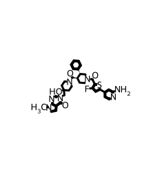 Cn1ccc2c(=O)n(CC3(O)CCN(C(=O)[C@@H]4CCN(C(=O)c5sc(-c6ccnc(N)c6)cc5F)C[C@H]4c4ccccc4)CC3)cnc21